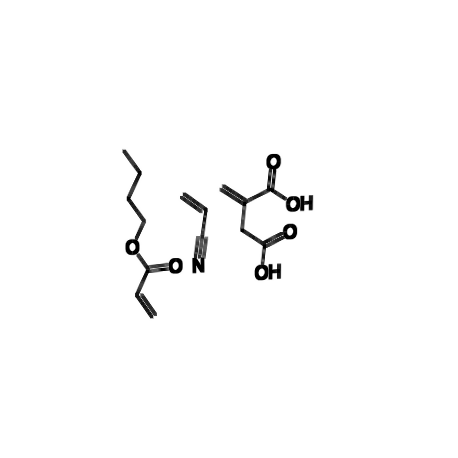 C=C(CC(=O)O)C(=O)O.C=CC#N.C=CC(=O)OCCCC